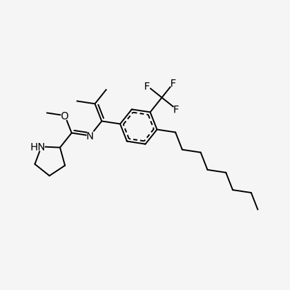 CCCCCCCCc1ccc(C(/N=C(\OC)C2CCCN2)=C(C)C)cc1C(F)(F)F